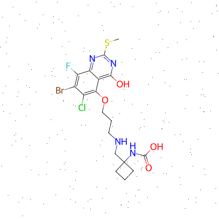 CSc1nc(O)c2c(OCCCNCC3(NC(=O)O)CCC3)c(Cl)c(Br)c(F)c2n1